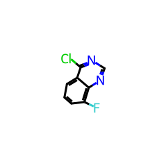 Fc1cccc2c(Cl)ncnc12